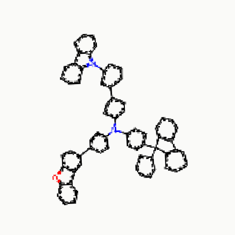 c1ccc(C2(c3ccc(N(c4ccc(-c5cccc(-n6c7ccccc7c7ccccc76)c5)cc4)c4ccc(-c5ccc6oc7ccccc7c6c5)cc4)cc3)c3ccccc3-c3ccccc32)cc1